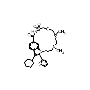 CN1CCCS(=O)(=O)NC(=O)c2ccc3c(C4CCCCC4)c(-c4cccs4)n(c3c2)CCN(C)CC1